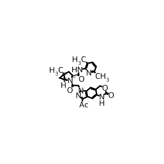 CC(=O)c1nn(CC(=O)N2[C@H](C(=O)Nc3nc(C)ccc3C)C[C@@]3(C)C[C@@H]23)c2cc3c(cc12)NC(=O)OC3